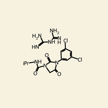 CC(C)NC(=O)N1CC(=O)N(c2cc(Cl)cc(Cl)c2)C1=O.N=C(N)NC(=N)N